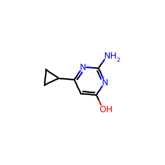 Nc1nc(O)cc(C2CC2)n1